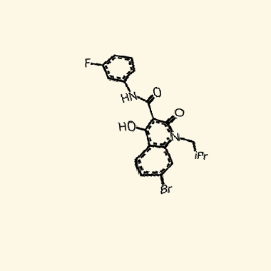 CC(C)Cn1c(=O)c(C(=O)Nc2cccc(F)c2)c(O)c2ccc(Br)cc21